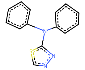 c1ccc(N(c2ccccc2)c2nncs2)cc1